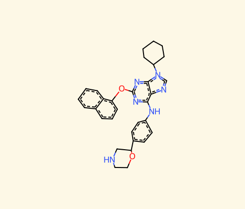 c1ccc2c(Oc3nc(Nc4ccc(C5CNCCO5)cc4)c4ncn(C5CCCCC5)c4n3)cccc2c1